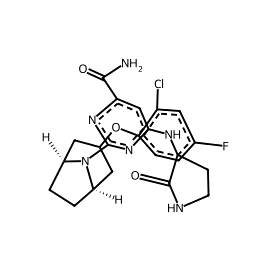 NC(=O)c1cc(NC2CCNC2=O)nc(N2[C@@H]3CC[C@H]2CC(Oc2ccc(F)cc2Cl)C3)n1